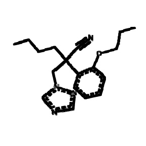 CCCCC(C#N)(Cn1cncn1)c1ccccc1OCCC